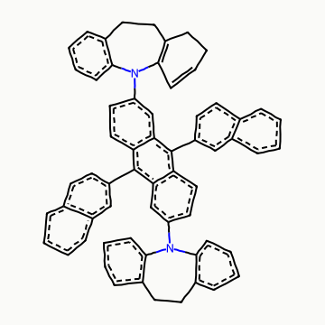 C1=CC2=C(CC1)CCc1ccccc1N2c1ccc2c(-c3ccc4ccccc4c3)c3cc(N4c5ccccc5CCc5ccccc54)ccc3c(-c3ccc4ccccc4c3)c2c1